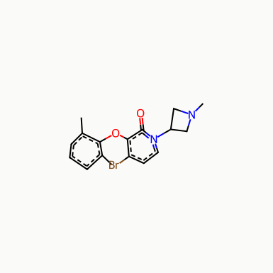 Cc1cccc(C)c1Oc1c(Br)ccn(C2CN(C)C2)c1=O